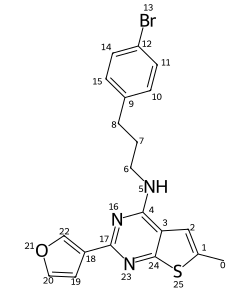 Cc1cc2c(NCCCc3ccc(Br)cc3)nc(-c3ccoc3)nc2s1